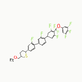 CCOCC1CCC(c2ccc(-c3ccc(C4C=C(F)C(C(F)(F)Oc5cc(F)c(F)c(F)c5)=C(F)C4)c(F)c3)c(F)c2)SC1